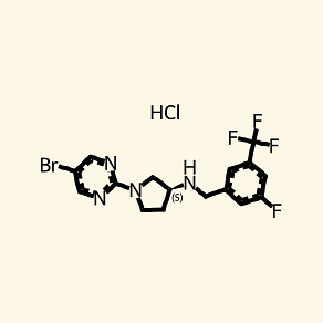 Cl.Fc1cc(CN[C@H]2CCN(c3ncc(Br)cn3)C2)cc(C(F)(F)F)c1